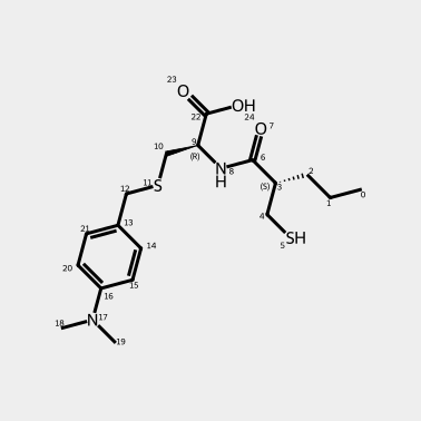 CCC[C@H](CS)C(=O)N[C@@H](CSCc1ccc(N(C)C)cc1)C(=O)O